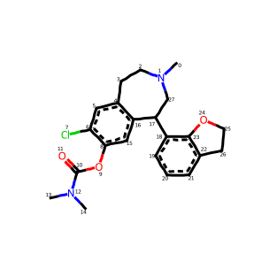 CN1CCc2cc(Cl)c(OC(=O)N(C)C)cc2C(c2cccc3c2OCC3)C1